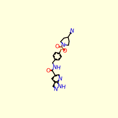 N#CC1CCN(S(=O)(=O)c2ccc(CNC(=O)c3cnc4[nH]ncc4c3)cc2)CC1